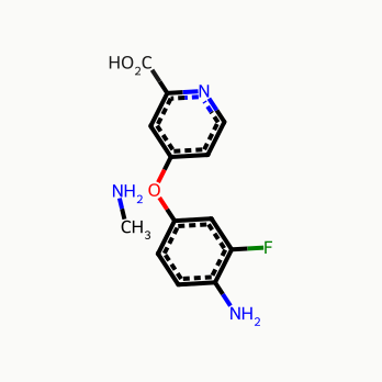 CN.Nc1ccc(Oc2ccnc(C(=O)O)c2)cc1F